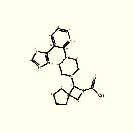 O=C(O)N1CC2(CCCC2)C1N1CCN(c2ncccc2-c2nncs2)CC1